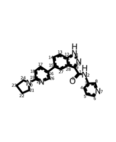 O=C(Nc1cccnc1)c1n[nH]c2ccc(-c3ccc(N4CCCC4)nc3)cc12